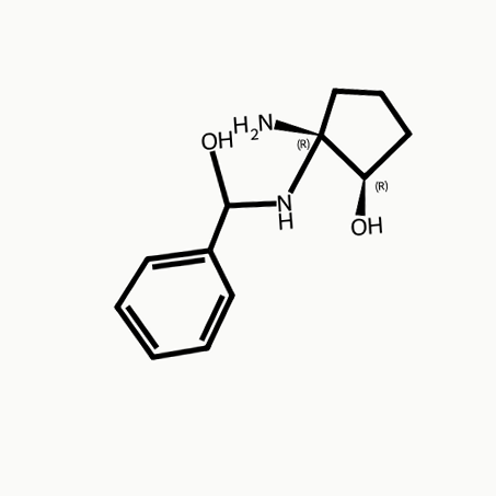 N[C@@]1(NC(O)c2ccccc2)CCC[C@H]1O